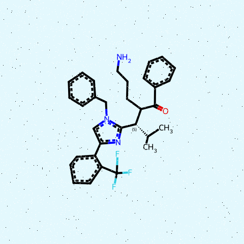 CC(C)[C@H](c1nc(-c2ccccc2C(F)(F)F)cn1Cc1ccccc1)C(CCCN)C(=O)c1ccccc1